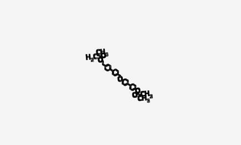 C=C(C)C(=O)OCCC1=CC=C(C2=CC=C(COC3=CC=C(C4=CC=C(OC(=O)C(=C)C)CC4)CC3)CC2)CC1